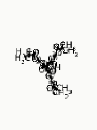 C=C(C)C(=O)OCCOC(=O)CC(O)(CC(=O)OCCOC(=O)C(=C)C)C(=O)OCCOC(=O)C(=C)C